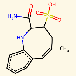 C.NC(=O)C1Nc2ccccc2C=CCC1S(=O)(=O)O